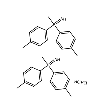 Cc1ccc(P(C)(=N)c2ccc(C)cc2)cc1.Cc1ccc(P(C)(=N)c2ccc(C)cc2)cc1.Cl.Cl